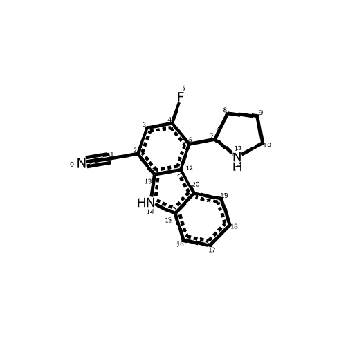 N#Cc1cc(F)c(C2CCCN2)c2c1[nH]c1ccccc12